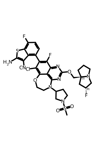 CS(=O)(=O)N1CCC(N2CCOc3c(Cl)c(-c4ccc(F)c5sc(N)c(C#N)c45)c(F)c4nc(OC[C@@]56CCCN5C[C@H](F)C6)nc2c34)C1